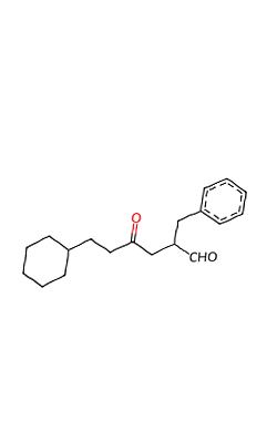 O=CC(CC(=O)CCC1CCCCC1)Cc1ccccc1